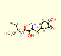 CC(C)C[C@H](NC(=O)C(O)C(N)Cc1ccc(O)c(O)c1)C(=O)O